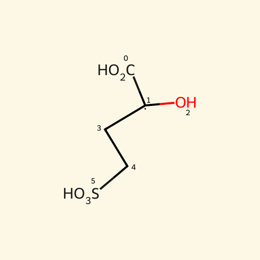 O=C(O)[C](O)CCS(=O)(=O)O